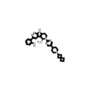 C[C@H]1c2c([nH]c3nnc(-c4ccccc4O)cc23)CCN1c1ncc(C2CCN(C3CC4(CCC4)C3)CC2)cn1